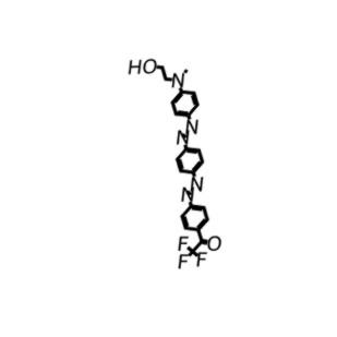 CN(CCO)c1ccc(N=Nc2ccc(N=Nc3ccc(C(=O)C(F)(F)F)cc3)cc2)cc1